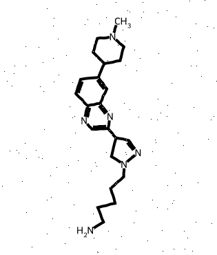 CN1CCC(c2ccc3ncc(C4C=NN(CCCCCN)C4)nc3c2)CC1